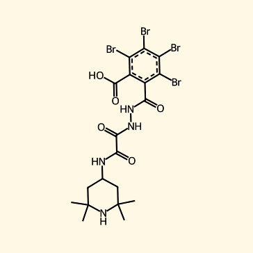 CC1(C)CC(NC(=O)C(=O)NNC(=O)c2c(Br)c(Br)c(Br)c(Br)c2C(=O)O)CC(C)(C)N1